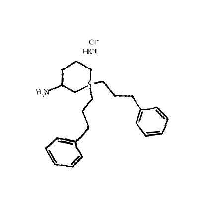 Cl.NC1CCC[N+](CCCc2ccccc2)(CCCc2ccccc2)C1.[Cl-]